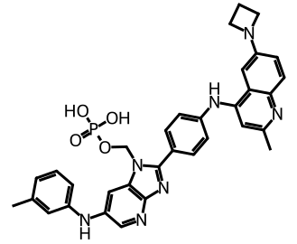 Cc1cccc(Nc2cnc3nc(-c4ccc(Nc5cc(C)nc6ccc(N7CCC7)cc56)cc4)n(COP(=O)(O)O)c3c2)c1